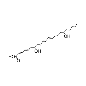 CCCCCC(O)CCCC=CC=CC=CC(O)=CC=CC=CC(=O)O